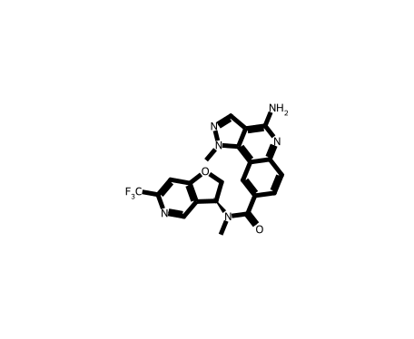 CN(C(=O)c1ccc2nc(N)c3cnn(C)c3c2c1)[C@@H]1COc2cc(C(F)(F)F)ncc21